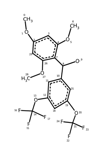 COc1cc(OC)c(C([O])c2cc(OC(F)(F)F)cc(OC(F)(F)F)c2)c(OC)c1